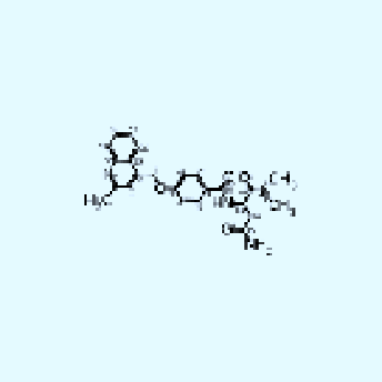 Cc1cc(COc2ccc(C(=O)NC(CC(N)=O)C(=O)N(C)C)cc2)c2ccccc2n1